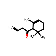 C=CCC(=O)C1C(C)=CCCC1(C)C